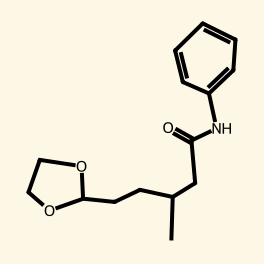 CC(CCC1OCCO1)CC(=O)Nc1ccccc1